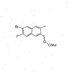 COOSc1cc2cc(F)c(Br)cc2cc1C